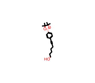 CC1(C)OB(c2ccc(C#CCCCCCO)cc2)OC1(C)C